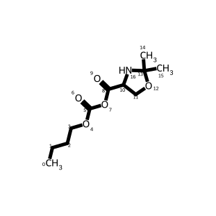 CCCCOC(=O)OC(=O)C1COC(C)(C)N1